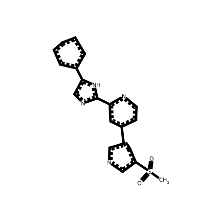 CS(=O)(=O)c1cncc(-c2ccnc(-c3ncc(-c4ccccc4)[nH]3)c2)c1